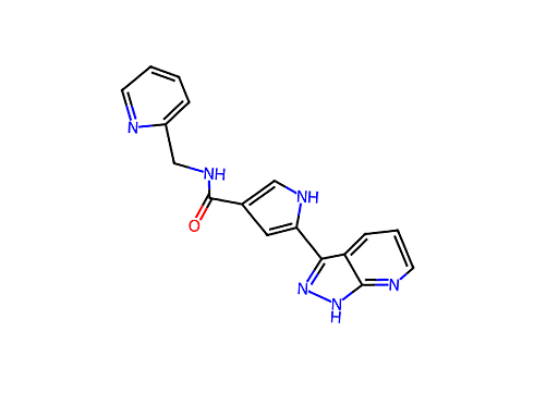 O=C(NCc1ccccn1)c1c[nH]c(-c2n[nH]c3ncccc23)c1